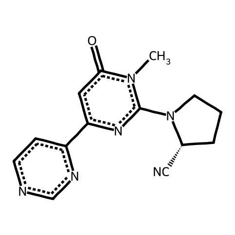 Cn1c(N2CCC[C@@H]2C#N)nc(-c2ccncn2)cc1=O